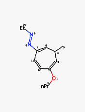 CCCOC1=CC(C)C=C(N=NCC)C=C1